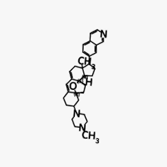 CN1CCN(C2CCC3=CC4=CCC5(C)C(c6ccc7ccncc7c6)CC[C@H]5[C@@]45CC[C@]3(C2)O5)CC1